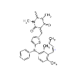 C=C/C=C\c1c(C)ccc(N(c2ccccc2)c2ccc(C=C3C(=O)N(C)C(=S)N(C)C3=O)s2)c1C